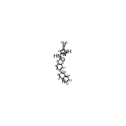 O=C(Cc1ccc(-c2ccc3ncccc3c2)cc1)Nc1cc(C2CC2)[nH]n1